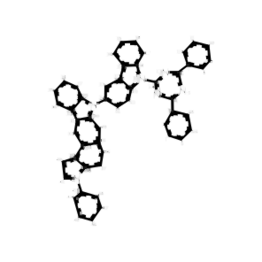 c1ccc(-c2nc(-c3ccccc3)nc(-n3c4ccccc4c4cc(-n5c6ccccc6c6cc7c(ccc8c7ccn8-c7ccccc7)cc65)ccc43)n2)cc1